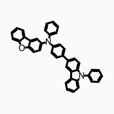 c1ccc(N(c2ccc(-c3ccc4c(c3)c3ccccc3n4-c3ccccc3)cc2)c2ccc3oc4ccccc4c3c2)cc1